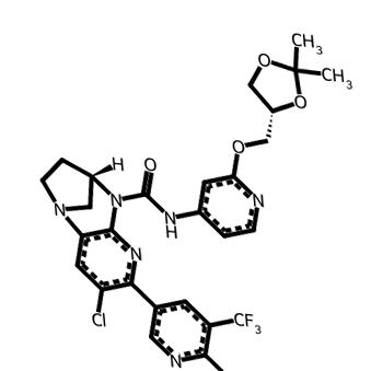 COc1ncc(-c2nc3c(cc2Cl)N2CC[C@@H](C2)N3C(=O)Nc2ccnc(OC[C@@H]3COC(C)(C)O3)c2)cc1C(F)(F)F